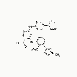 CCC(=O)c1cnc(Nc2ccc(C(C)NC)cn2)cc1Nc1cccc(-c2ncn(C)n2)c1OC